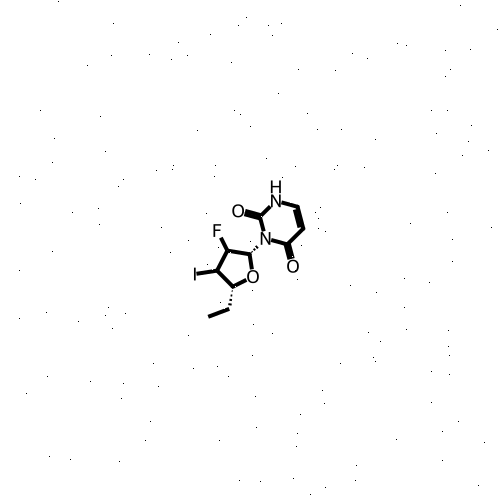 CC[C@H]1O[C@@H](n2c(=O)cc[nH]c2=O)C(F)C1I